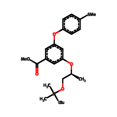 COC(=O)c1cc(Oc2ccc(SC)cc2)cc(O[C@@H](C)CO[Si](C)(C)C(C)(C)C)c1